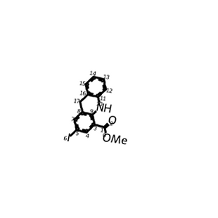 COC(=O)c1cc(I)cc2c1Nc1ccccc1C2